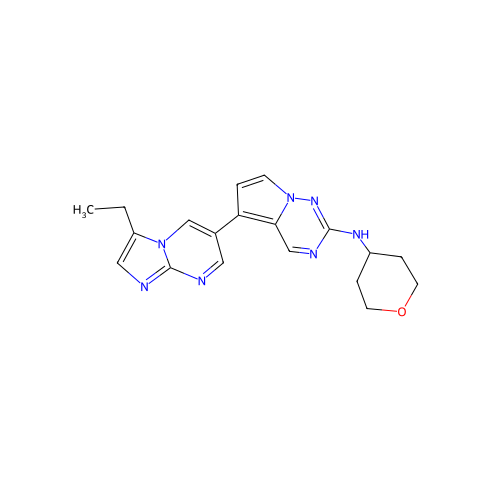 CCc1cnc2ncc(-c3ccn4nc(NC5CCOCC5)ncc34)cn12